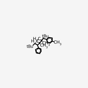 Cc1ccc(C(C(C)(C)C)C(C)(C)C(C)(C)C(CC(C)(C)C)c2ccccc2)cc1